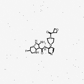 NC1NN2CC(F)CNC2C1C(=O)Nc1cnccc1N1CCN(C(=O)C2COC2)CC1